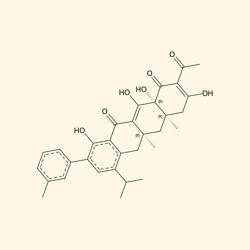 CC(=O)C1=C(O)C[C@@]2(C)C[C@@]3(C)Cc4c(C(C)C)cc(-c5cccc(C)c5)c(O)c4C(=O)C3=C(O)[C@@]2(O)C1=O